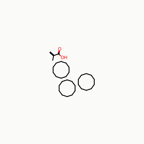 C1CCCCCCCCC1.C1CCCCCCCCC1.C1CCCCCCCCC1.C=C(C)C(=O)O